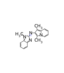 Cc1c(/N=C2\N=c3ccccc3=[N+]2C)c(C)n2ccccc12